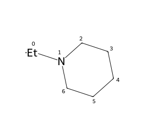 C[CH]N1CCCCC1